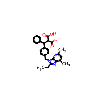 CCc1nc2c(C)cc(C)nc2n1Cc1ccc(C(c2ccccc2)C(C(=O)O)C(=O)O)cc1